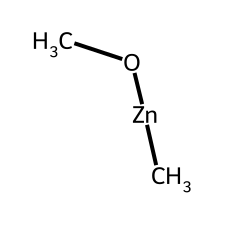 C[O][Zn][CH3]